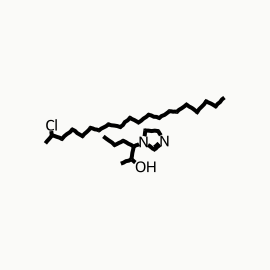 CCCC(C(C)O)N1C=NCC1.CCCCCCCCCCCCCCCCCCC(C)Cl